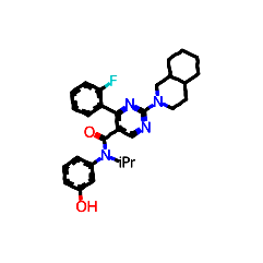 CC(C)N(C(=O)c1cnc(N2CCC3CCCCC3C2)nc1-c1ccccc1F)c1cccc(O)c1